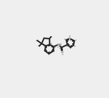 CC1CC(C)(C)c2cccc(NC(=O)c3cccnc3)c21